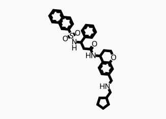 O=C(CC(NS(=O)(=O)c1ccc2ccccc2c1)c1ccccc1)NC1CCOc2cc(CNCC3CCCC3)ccc21